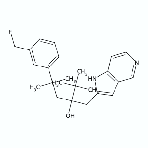 CC(C)(CC(O)(Cc1cc2cnccc2[nH]1)C(C)(C)C)c1cccc(CF)c1